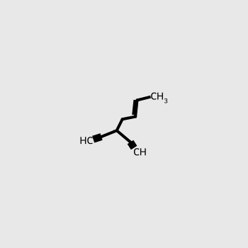 C#C[C](C#C)CC=CC